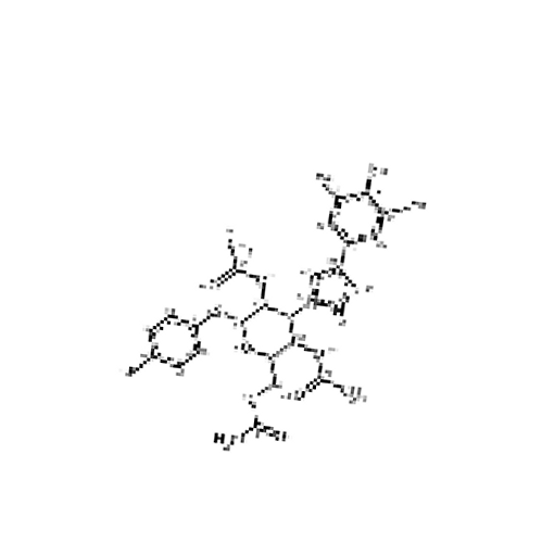 CC(=O)OCC1O[C@H](Sc2ccc(F)cc2)[C@@H](OC(C)=O)C(n2cc(-c3cc(F)c(F)c(F)c3)nn2)[C@H]1OC(C)=O